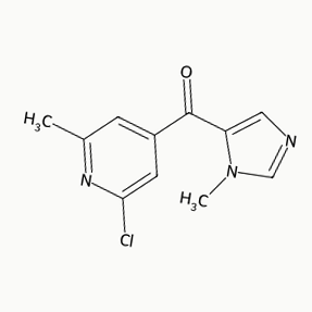 Cc1cc(C(=O)c2cncn2C)cc(Cl)n1